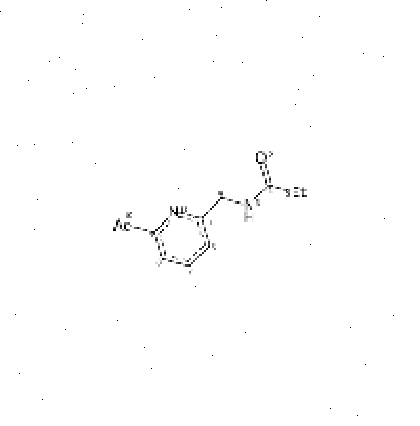 CCC(=O)NCc1cccc(C(C)=O)n1